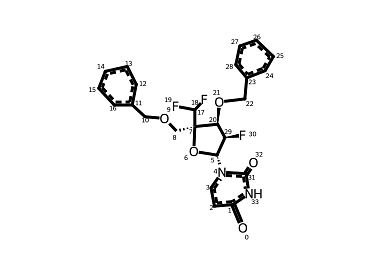 O=c1ccn([C@@H]2O[C@@](COCc3ccccc3)(C(F)F)[C@@H](OCc3ccccc3)[C@H]2F)c(=O)[nH]1